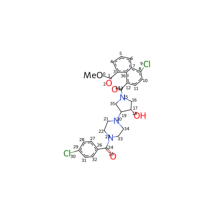 COC(=O)c1cccc2c(Cl)ccc(C(=O)N3CC(O)C(N4CCN(C(=O)c5ccc(Cl)cc5)CC4)C3)c12